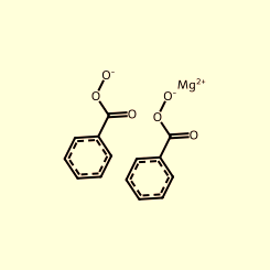 O=C(O[O-])c1ccccc1.O=C(O[O-])c1ccccc1.[Mg+2]